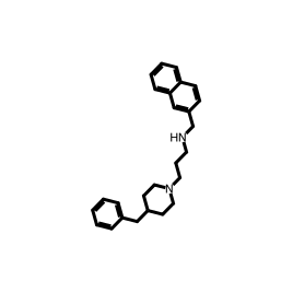 c1ccc(CC2CCN(CCCNCc3ccc4ccccc4c3)CC2)cc1